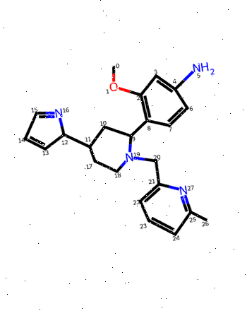 COc1cc(N)ccc1C1CC(C2C=CC=N2)CCN1Cc1cccc(C)n1